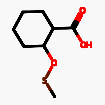 CSOC1CCCCC1C(=O)O